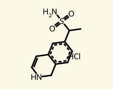 CC(c1ccc2c(c1)C=CNC2)S(N)(=O)=O.Cl